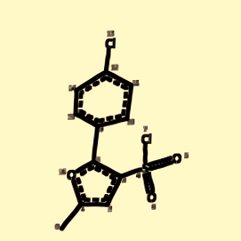 Cc1cc(S(=O)(=O)Cl)c(-c2ccc(Cl)cc2)o1